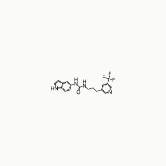 O=C(NCCCc1cncc(C(F)(F)F)c1)Nc1ccc2[nH]ccc2c1